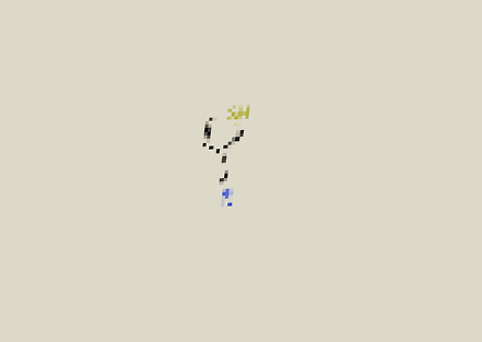 N#CC1=C=[SH]C=C1